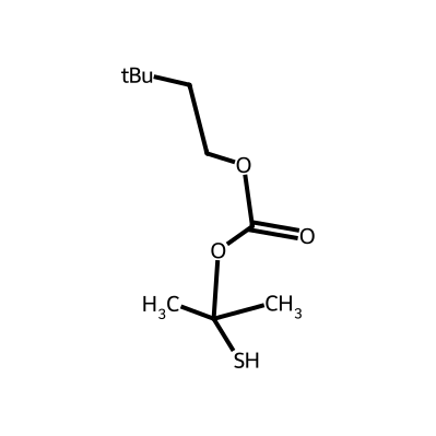 CC(C)(C)CCOC(=O)OC(C)(C)S